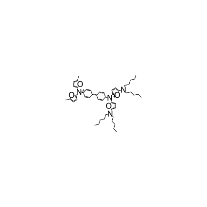 CCCCCN(CCCCC)c1ccc([N+](=C2C=CC(=C3C=CC(=[N+](c4ccc(C)o4)c4ccc(C)o4)C=C3)C=C2)c2ccc(N(CCCCC)CCCCC)o2)o1